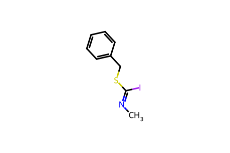 C/N=C(\I)SCc1ccccc1